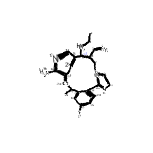 CCN/C1=C(\C=N)Cn2ccnc2-c2ccc(F)cc2C(C)Oc2cc1cnc2N